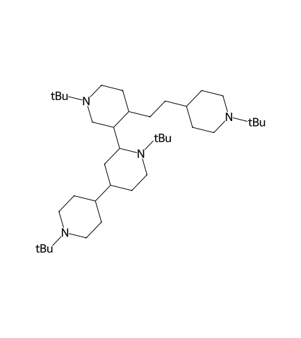 CC(C)(C)N1CCC(CCC2CCN(C(C)(C)C)CC2C2CC(C3CCN(C(C)(C)C)CC3)CCN2C(C)(C)C)CC1